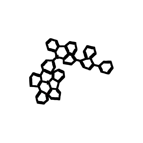 c1ccc(-c2ccccc2N(c2ccc(-c3cccc(-c4ccccc4)c3-n3c4ccccc4c4ccccc43)cc2)c2ccc(-c3ccc(-c4ccccc4)c4ccccc34)cc2)cc1